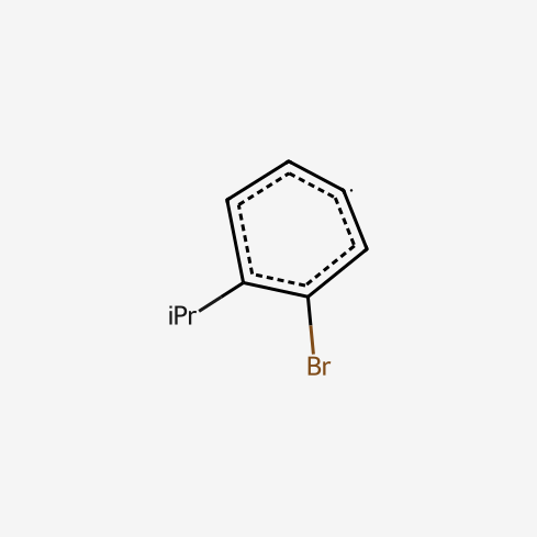 CC(C)c1cc[c]cc1Br